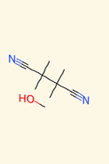 CC(C)(C#N)C(C)(C)C#N.CO